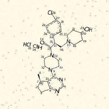 C[C@@H]1CCc2ncnc(N3CCN(C(=O)[C@H](CN4CCC(O)CC4)c4ccc(Cl)cc4)CC3)c21.Cl.Cl